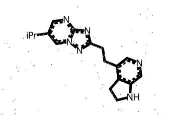 CC(C)c1cnc2nc(CCc3cncc4c3CCN4)nn2c1